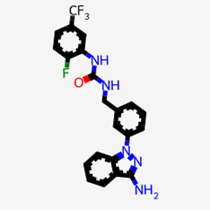 Nc1nn(-c2cccc(CNC(=O)Nc3cc(C(F)(F)F)ccc3F)c2)c2ccccc12